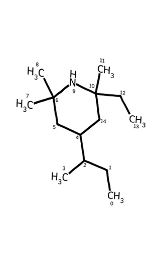 CCC(C)C1CC(C)(C)NC(C)(CC)C1